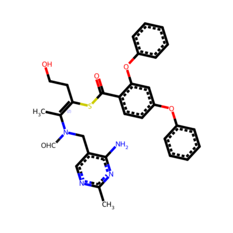 C/C(=C(\CCO)SC(=O)c1ccc(Oc2ccccc2)cc1Oc1ccccc1)N(C=O)Cc1cnc(C)nc1N